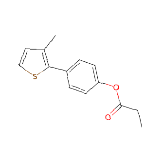 CCC(=O)Oc1ccc(-c2sccc2C)cc1